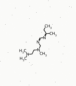 CC/C(C)=N\C=N/CN(C)CCN(C)C